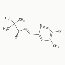 Cc1cc(C=N[S@@+]([O-])C(C)(C)C)ncc1Br